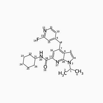 CC(C)n1ccc2c(Cc3ccnc(F)c3)cc(C(=O)NC3CCCCC3)nc21